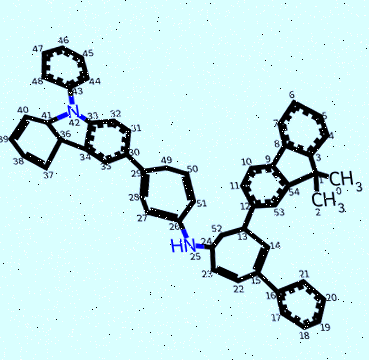 CC1(C)c2ccccc2-c2ccc(C3C=C(c4ccccc4)C=CC(NC4=CC=C(c5ccc6c(c5)C5C=CC=CC5N6c5ccccc5)CC=C4)C3)cc21